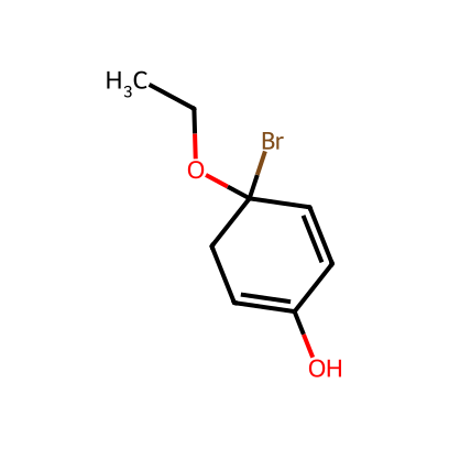 CCOC1(Br)C=CC(O)=CC1